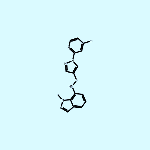 Cn1ncc2cccc(NSc3cnn(-c4cc(Cl)ccn4)c3)c21